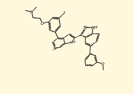 COc1cccc(-c2ccc3[nH]nc(-c4cc5c(-c6cc(F)cc(OCCN(C)C)c6)cncc5[nH]4)c3c2)c1